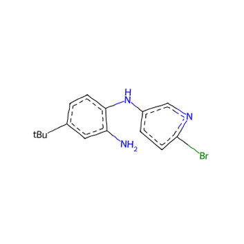 CC(C)(C)c1ccc(Nc2ccc(Br)nc2)c(N)c1